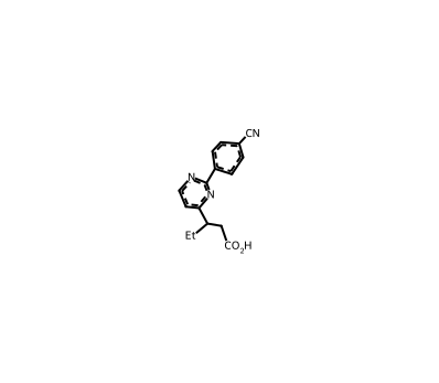 CCC(CC(=O)O)c1ccnc(-c2ccc(C#N)cc2)n1